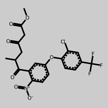 COC(=O)CC(=O)CC(C)C(=O)c1cc(Oc2ccc(C(F)(F)F)cc2Cl)ccc1[N+](=O)[O-]